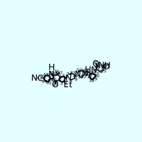 CCc1cc2c(cc1N1CCC(N3CCN(Cc4ccccc4NC4CCC(=O)NC4=O)CC3)CC1)C(C)(C)c1[nH]c3cc(C#N)ccc3c1C2=O